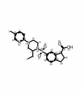 CCC1CN(c2ccc(C)cn2)CCN1S(=O)(=O)c1ccc2c(c1)C(C(=O)O)CC2